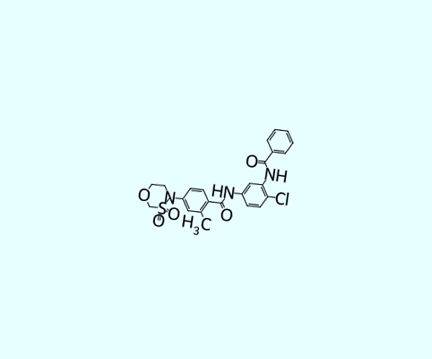 Cc1cc(N2CCOCS2(=O)=O)ccc1C(=O)Nc1ccc(Cl)c(NC(=O)c2ccccc2)c1